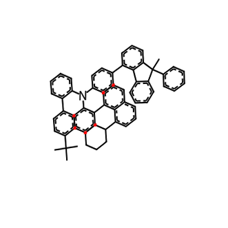 CC(C)(C)c1ccc(-c2ccccc2N(c2ccc(-c3cccc4c3-c3ccccc3C4(C)c3ccccc3)cc2)c2ccccc2-c2cccc3cccc(C4CCCCC4)c23)cc1